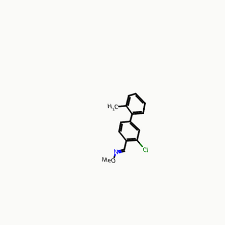 CO/N=C/c1ccc(-c2ccccc2C)cc1Cl